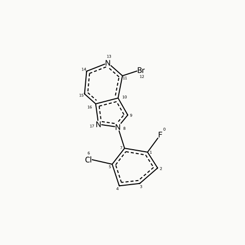 Fc1cccc(Cl)c1-n1cc2c(Br)nccc2n1